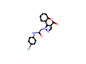 O=C(Cn1ncc2c(=O)oc3ccccc3c21)Nc1ccc(Cl)cc1